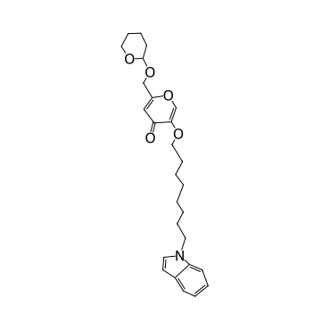 O=c1cc(COC2CCCCO2)occ1OCCCCCCCCn1ccc2ccccc21